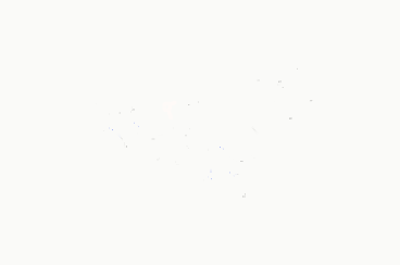 COc1cc(-c2nc3n(n2)CCCC3c2ccc(C(F)(F)F)cc2)ccc1-n1cnc(C)c1